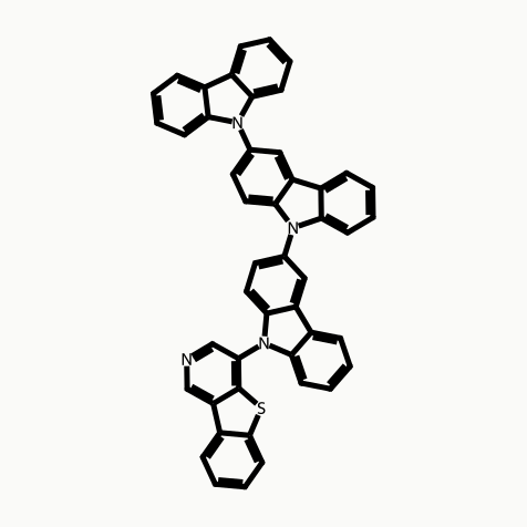 c1ccc2c(c1)sc1c(-n3c4ccccc4c4cc(-n5c6ccccc6c6cc(-n7c8ccccc8c8ccccc87)ccc65)ccc43)cncc12